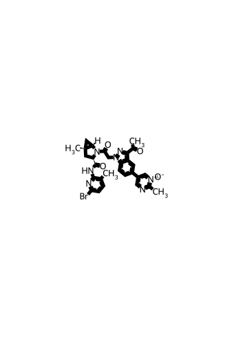 CC(=O)c1nn(CC(=O)N2[C@H](C(=O)Nc3nc(Br)ccc3C)C[C@@]3(C)C[C@@H]23)c2ccc(-c3cnc(C)[n+]([O-])c3)cc12